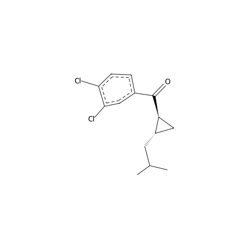 CC(C)C[C@H]1C[C@@H]1C(=O)c1ccc(Cl)c(Cl)c1